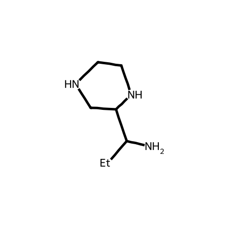 CCC(N)C1CNCCN1